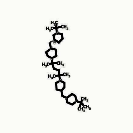 CC(C)(C)N1CCN(CC2CCN(C(C)(C)CCC(C)(C)N3CCN(C[C@H]4CCCN(C(C)(C)C)C4)CC3)CC2)CC1